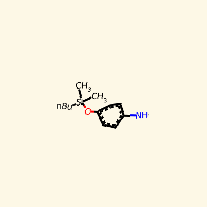 CCCC[Si](C)(C)Oc1ccc([NH])cc1